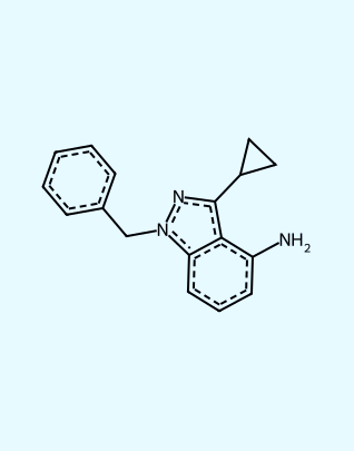 Nc1cccc2c1c(C1CC1)nn2Cc1ccccc1